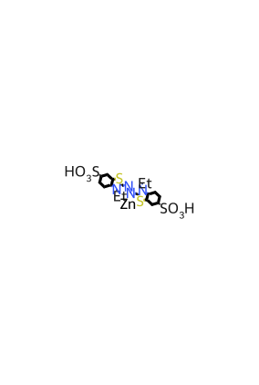 CCn1c(=NN=c2sc3cc(S(=O)(=O)O)ccc3n2CC)sc2cc(S(=O)(=O)O)ccc21.[Zn]